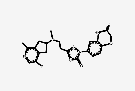 Cc1ncc(F)c2c1CC(N(C)CCc1nn(-c3ccc4c(c3)NC(=O)CO4)c(=O)o1)C2